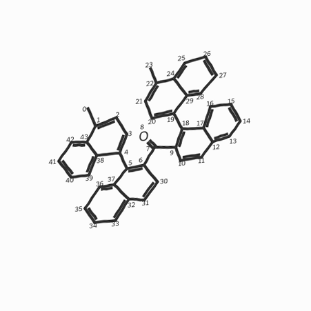 Cc1ccc(-c2c(C(=O)c3ccc4ccccc4c3-c3ccc(C)c4ccccc34)ccc3ccccc23)c2ccccc12